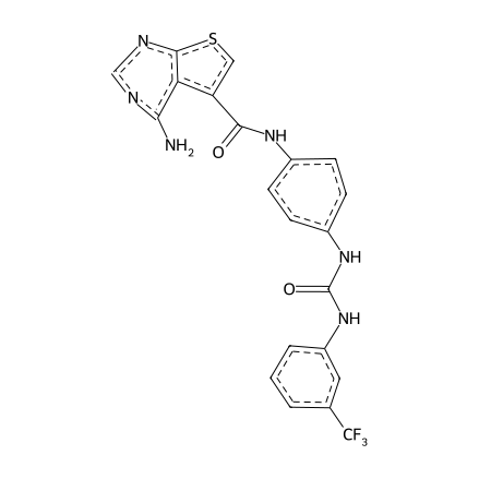 Nc1ncnc2scc(C(=O)Nc3ccc(NC(=O)Nc4cccc(C(F)(F)F)c4)cc3)c12